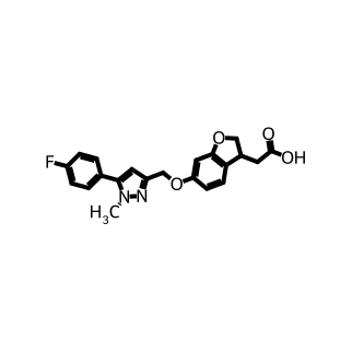 Cn1nc(COc2ccc3c(c2)OCC3CC(=O)O)cc1-c1ccc(F)cc1